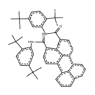 CC(C)(C)c1ccc(C(C)(C)C)c(NC(=O)c2ccc3c4cccc5cccc(c6ccc(C(=O)Nc7cc(C(C)(C)C)ccc7C(C)(C)C)c2c36)c54)c1